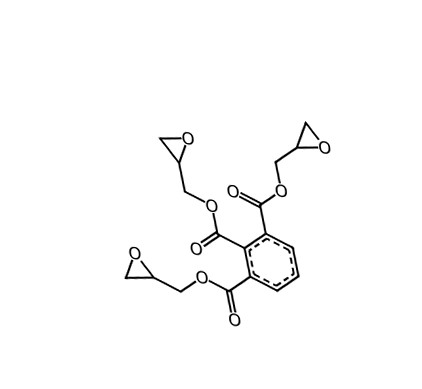 O=C(OCC1CO1)c1cccc(C(=O)OCC2CO2)c1C(=O)OCC1CO1